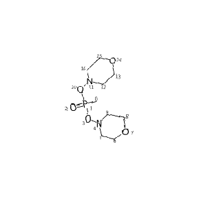 CP(=O)(ON1CCOCC1)ON1CCOCC1